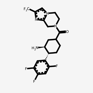 N[C@H]1CC(C(=O)N2CCn3cc(C(F)(F)F)nc3C2)CC[C@@H]1c1cc(F)c(F)cc1F